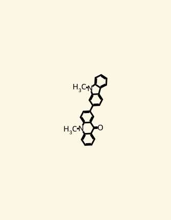 Cn1c2ccccc2c(=O)c2cc(-c3ccc4c5ccccc5n(C)c4c3)ccc21